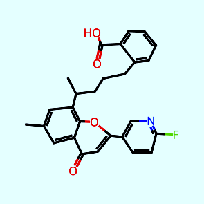 Cc1cc(C(C)CCCc2ccccc2C(=O)O)c2oc(-c3ccc(F)nc3)cc(=O)c2c1